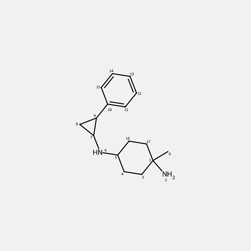 CC1(N)CCC(NC2CC2c2ccccc2)CC1